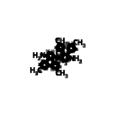 Cc1ccc(-c2c(N)ccc(C(C)(C)c3ccc(N)c(-c4ccc(C)cc4)c3-c3ccc(C)cc3)c2-c2ccc(C)cc2)cc1